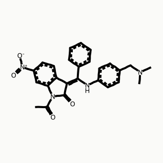 CC(=O)N1C(=O)/C(=C(\Nc2ccc(CN(C)C)cc2)c2ccccc2)c2ccc([N+](=O)[O-])cc21